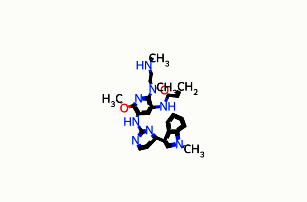 C=CC(=O)Nc1cc(Nc2nccc(-c3cn(C)c4ccccc34)n2)c(OC)nc1N(C)CCNC